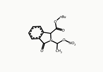 CCCCOC(=O)C1c2ccccc2C(=O)N1C(C)O[N+](=O)[O-]